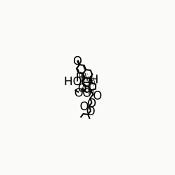 CCC(C)OC(=O)OCC(=O)[C@@]1(OC(=O)OC)CC[C@H]2[C@@H]3CCC4=CC(=O)C=C[C@]4(C)[C@H]3C(O)C[C@@]21C